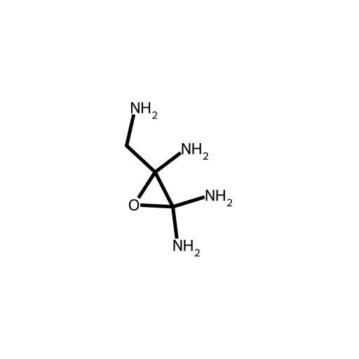 NCC1(N)OC1(N)N